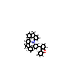 CC1(C)c2ccccc2-c2c(N(c3cccc(-c4cccc5oc6ccccc6c45)c3)c3cccc4c3-c3ccccc3C4(C)C)cccc21